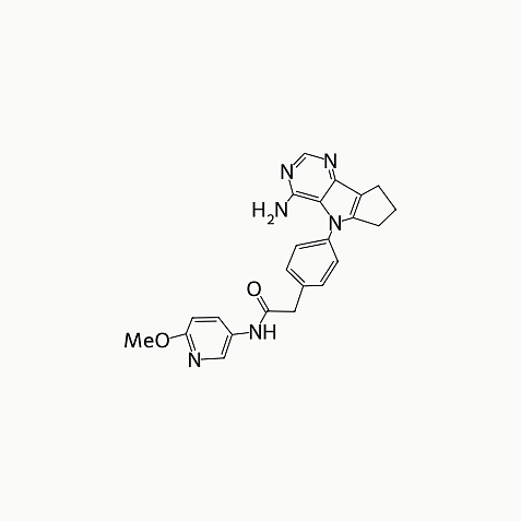 COc1ccc(NC(=O)Cc2ccc(-n3c4c(c5ncnc(N)c53)CCC4)cc2)cn1